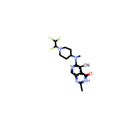 Cc1nc2cnc(N(C)C3CCN(C(F)C(F)F)CC3)c(C#N)c2c(=O)[nH]1